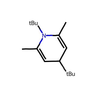 CC1=CC(C(C)(C)C)C=C(C)N1C(C)(C)C